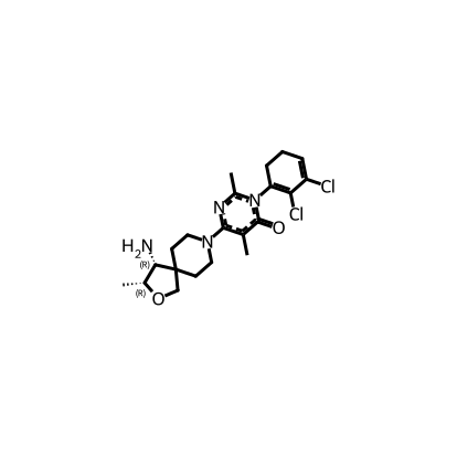 Cc1c(N2CCC3(CC2)CO[C@H](C)[C@@H]3N)nc(C)n(C2=C(Cl)C(Cl)=CCC2)c1=O